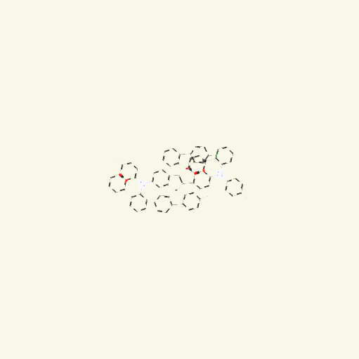 Fc1ccc(N(c2ccc3c(c2)C2(C4=C3C3(c5cc(N(c6ccc(F)cc6)c6ccccc6-c6ccccc6)ccc54)c4ccccc4-c4ccc(F)cc43)c3ccccc3-c3ccc(F)cc32)c2ccccc2-c2ccccc2)cc1